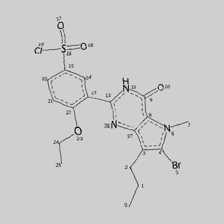 CCCc1c(Br)n(C)c2c(=O)[nH]c(-c3cc(S(=O)(=O)Cl)ccc3OCC)nc12